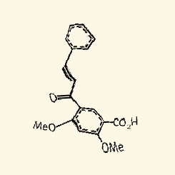 COc1cc(OC)c(C(=O)C=Cc2ccccc2)cc1C(=O)O